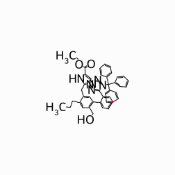 CCCc1cc(CO)c(-c2ccccc2-c2nnnn2C(c2ccccc2)(c2ccccc2)c2ccccc2)cc1Cc1ncc(C(=O)OCC)[nH]1